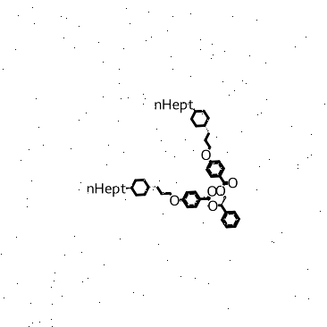 CCCCCCC[C@H]1CC[C@H](CCCOc2ccc(C(=O)OC[C@H](OC(=O)c3ccc(OCCC[C@H]4CC[C@H](CCCCCCC)CC4)cc3)c3ccccc3)cc2)CC1